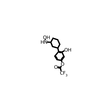 O=C(Oc1ccc(C2CCCC(NO)C2)c(O)c1)C(F)(F)F